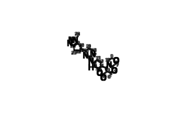 CC(=O)c1c(N2CCOCC2)c2ccc(Nc3nccc(-c4ccc5nnn(C)c5c4)n3)cc2oc1=O